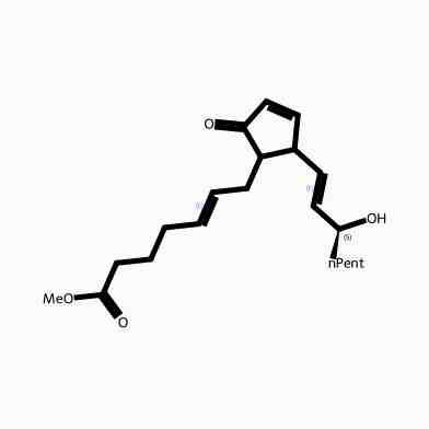 CCCCC[C@H](O)/C=C/C1C=CC(=O)C1C/C=C/CCCC(=O)OC